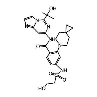 CC(C)(O)c1nc(NC(=O)c2ccc(NS(=O)(=O)CCO)cc2N2CCC3(CC2)CC3)cc2nccn12